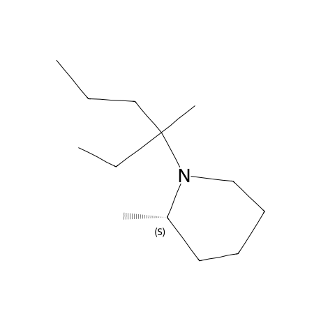 CCCC(C)(CC)N1CCCC[C@@H]1C